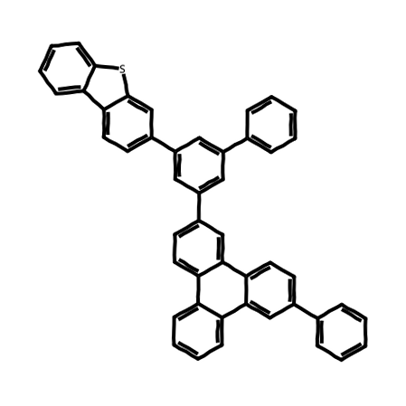 c1ccc(-c2cc(-c3ccc4c(c3)sc3ccccc34)cc(-c3ccc4c5ccccc5c5cc(-c6ccccc6)ccc5c4c3)c2)cc1